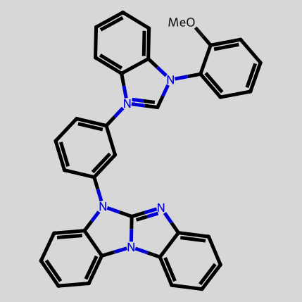 COc1ccccc1-n1c[n+](-c2cccc(-n3c4ccccc4n4c5ccccc5nc34)c2)c2ccccc21